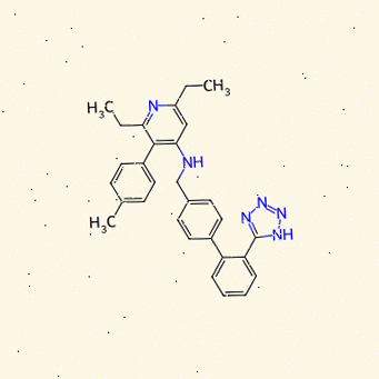 CCc1cc(NCc2ccc(-c3ccccc3-c3nnn[nH]3)cc2)c(-c2ccc(C)cc2)c(CC)n1